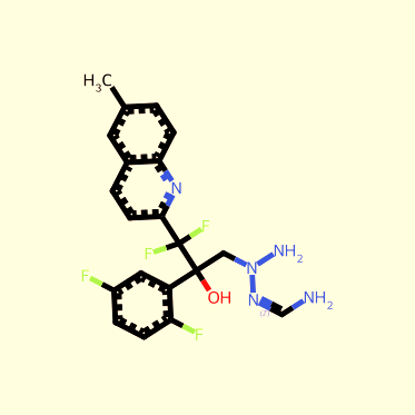 Cc1ccc2nc(C(F)(F)C(O)(CN(N)/N=C\N)c3cc(F)ccc3F)ccc2c1